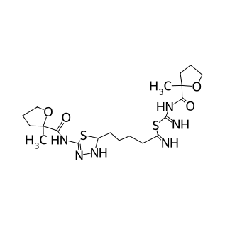 CC1(C(=O)NC(=N)SC(=N)CCCCC2NN=C(NC(=O)C3(C)CCCO3)S2)CCCO1